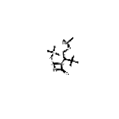 C[SiH](C)OCC([C@H]1C(=O)N[C@@H]1O[Si](C)(C)C)C(C)(C)C